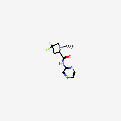 O=C(Nc1cnccn1)C1CC(F)(F)CN1C(=O)O